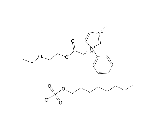 CCCCCCCCOS(=O)(=O)O.CCOCCOC(=O)C[N@+]1(c2ccccc2)C=C[N+](C)=C1